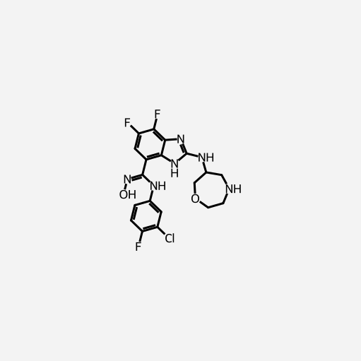 O/N=C(\Nc1ccc(F)c(Cl)c1)c1cc(F)c(F)c2nc(NC3CNCCOC3)[nH]c12